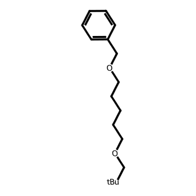 CC(C)(C)COCCCCCOCc1ccccc1